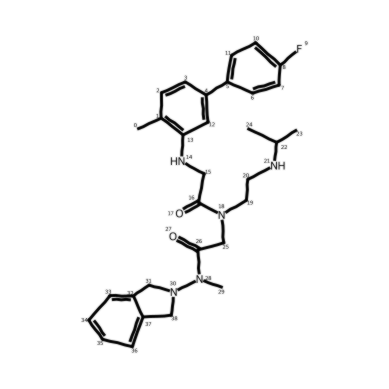 Cc1ccc(-c2ccc(F)cc2)cc1NCC(=O)N(CCNC(C)C)CC(=O)N(C)N1Cc2ccccc2C1